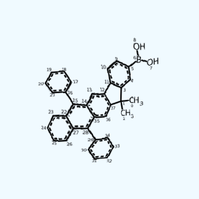 CC1(C)c2cc(B(O)O)ccc2-c2cc3c(-c4ccccc4)c4ccccc4c(-c4ccccc4)c3cc21